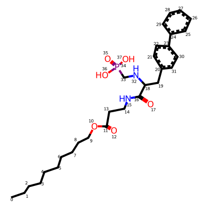 CCCCCCCCCCOC(=O)CCNC(=O)C(Cc1ccc(-c2ccccc2)cc1)NCP(=O)(O)O